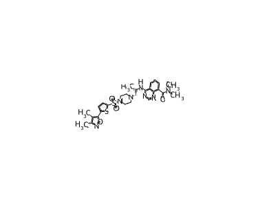 Cc1noc(-c2ccc(S(=O)(=O)N3CCN(C[C@H](C)Nc4ncnc5c(C(=O)N(C)C)cccc45)CC3)s2)c1C